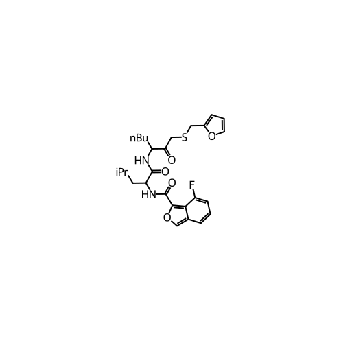 CCCCC(NC(=O)C(CC(C)C)NC(=O)c1occ2cccc(F)c12)C(=O)CSCc1ccco1